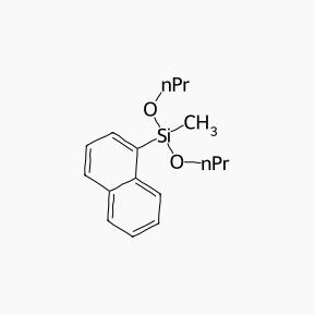 CCCO[Si](C)(OCCC)c1cccc2ccccc12